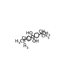 CC(C)(C)C1CCC2(CC1)C(O)C1(CCC(C(C)(C)C)CC1)C2O